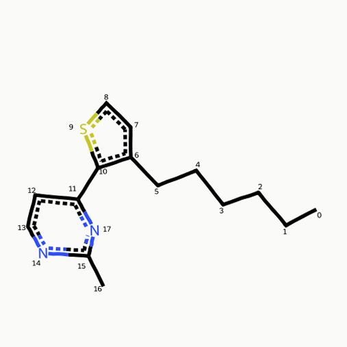 CCCCCCc1ccsc1-c1ccnc(C)n1